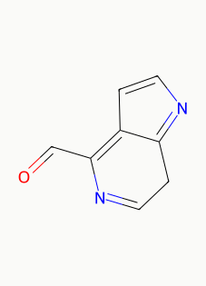 O=CC1=C2C=CN=C2CC=N1